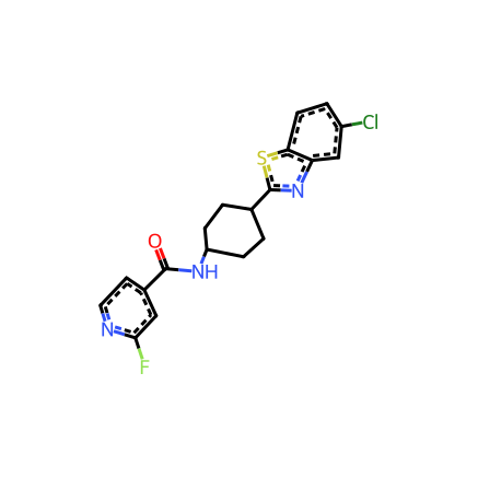 O=C(NC1CCC(c2nc3cc(Cl)ccc3s2)CC1)c1ccnc(F)c1